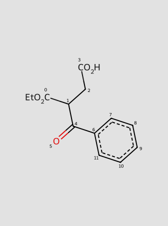 CCOC(=O)C(CC(=O)O)C(=O)c1ccccc1